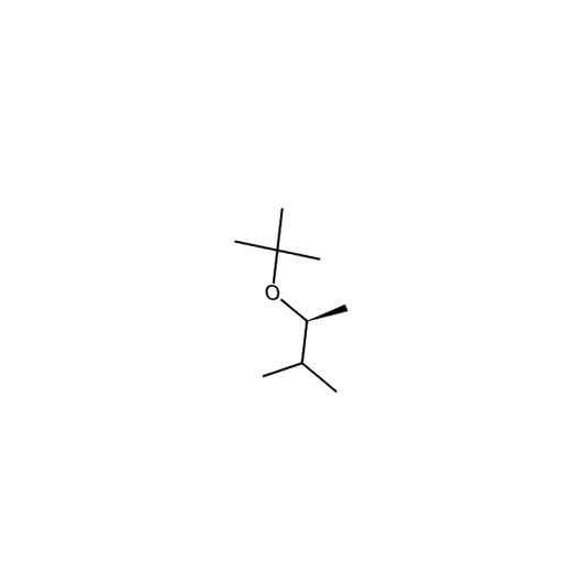 CC(C)[C@H](C)OC(C)(C)C